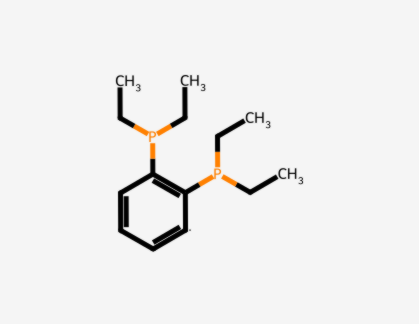 CCP(CC)c1[c]cccc1P(CC)CC